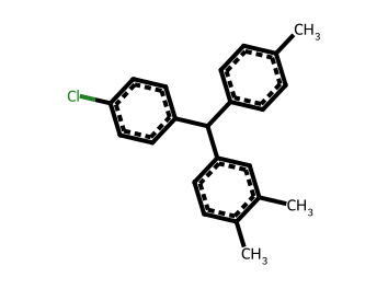 Cc1ccc(C(c2ccc(Cl)cc2)c2ccc(C)c(C)c2)cc1